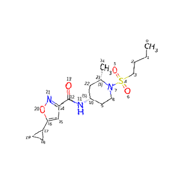 CCCCS(=O)(=O)N1CC[C@H](NC(=O)c2cc(C3CC3)on2)C[C@@H]1C